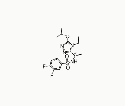 CCn1c(OC(C)C)nnc1[C@@H](C)NS(=O)(=O)c1ccc(F)c(F)c1